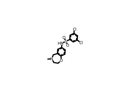 CN1CCOc2ccc(NS(=O)(=O)c3cc(Cl)cc(Cl)c3)cc2C1